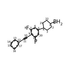 BC1CCC(c2cc(F)c(C#Cc3ccccc3)c(F)c2)CC1